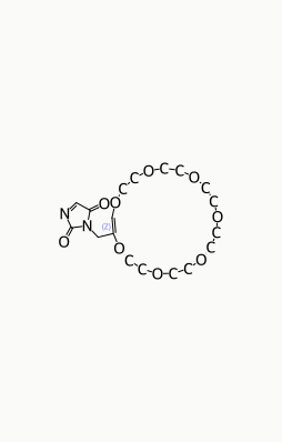 O=C1C=NC(=O)N1C/C1=C/OCCOCCOCCOCCOCCOCCO1